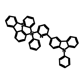 c1ccc(-n2c3ccccc3c3cc(-c4cccc([Si](c5ccccc5)(c5ccccc5)c5cccc6c5sc5ccccc56)n4)ccc32)cc1